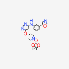 CC(C)OC(=O)ON1CCC(Oc2cc(Nc3cccc(-c4cnco4)c3)ncn2)CC1